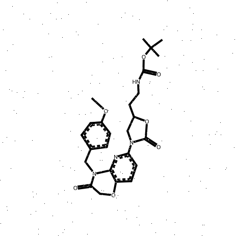 COc1ccc(CN2C(=O)COc3ccc(N4CC(CCNC(=O)OC(C)(C)C)OC4=O)nc32)cc1